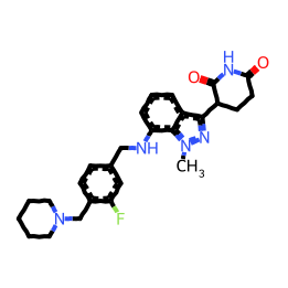 Cn1nc(C2CCC(=O)NC2=O)c2cccc(NCc3ccc(CN4CCCCC4)c(F)c3)c21